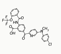 CN(c1ccc(Cl)cc1)c1ccc(C(=O)c2ccc(NC(=O)c3ccccc3OC(F)(F)F)c(C(=O)O)c2)nc1